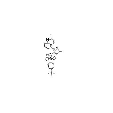 Cc1ccc2c(-n3nc(C)cc3NS(=O)(=O)c3ccc(C(C)(C)C)cc3)cccc2n1